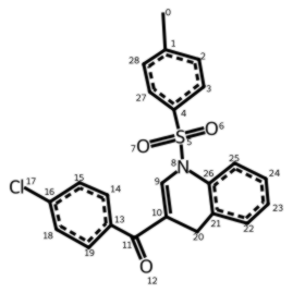 Cc1ccc(S(=O)(=O)N2C=C(C(=O)c3ccc(Cl)cc3)Cc3ccccc32)cc1